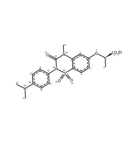 CCOC(=O)[C@@H](C)Oc1ccc2c(c1)N(C)C(=O)N(c1ccc(N(C)C)cc1)S2(=O)=O